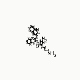 NCCCC[C@@H](N)C(=O)N[C@H](Cc1ccccc1)C(=O)Sc1cnc2ccccc2c1